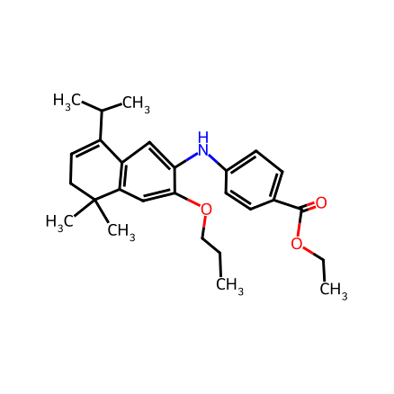 CCCOc1cc2c(cc1Nc1ccc(C(=O)OCC)cc1)C(C(C)C)=CCC2(C)C